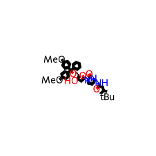 COc1ccc(C(OC[C@H]2O[C@@H](n3ccc(NC(=O)CC(C)CC(C)(C)C)nc3=O)C[C@@H]2O)(c2ccccc2)c2ccc(OC)cc2)cc1